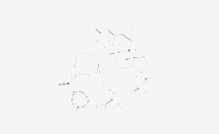 CC(=O)O[C@]1(C(C)=O)CC[C@H]2[C@@H]3C=C(Cl)C4=CC(=O)CC[C@]4(C)[C@H]3CC[C@@]21C.N=C(N)NCCN1CCCCCCC1.NC(=O)c1cccnc1